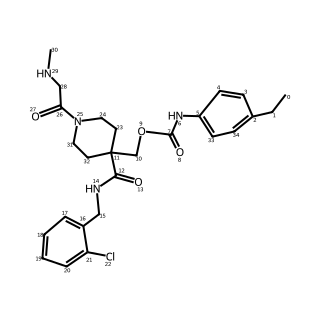 CCc1ccc(NC(=O)OCC2(C(=O)NCc3ccccc3Cl)CCN(C(=O)CNC)CC2)cc1